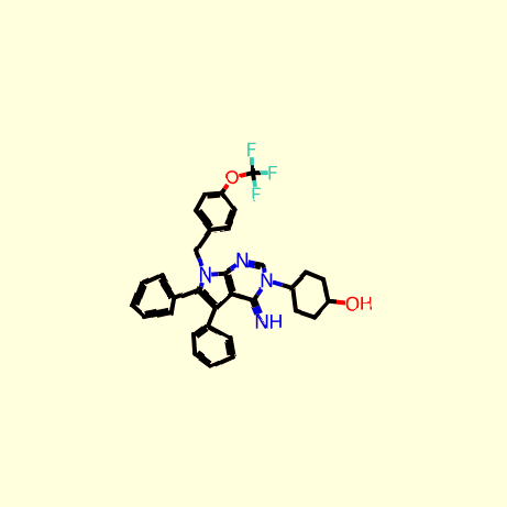 N=c1c2c(-c3ccccc3)c(-c3ccccc3)n(Cc3ccc(OC(F)(F)F)cc3)c2ncn1C1CCC(O)CC1